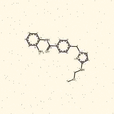 COCNc1ccn(Cc2ccc(C(=O)Nc3ccccc3N)cc2)n1